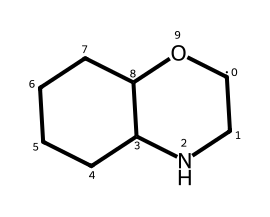 [CH]1CNC2CCCCC2O1